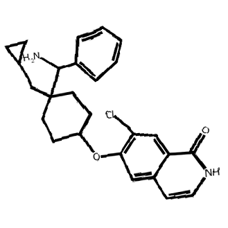 NC(c1ccccc1)C1(CC2CC2)CCC(Oc2cc3cc[nH]c(=O)c3cc2Cl)CC1